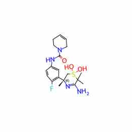 CC1(C)C(N)=N[C@](C)(c2cc(NC(=O)N3CC=CCC3)ccc2F)CS1(O)O